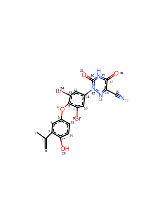 C=C(C)c1cc(Oc2c(Br)cc(-n3nc(C#N)c(=O)[nH]c3=O)cc2Br)ccc1O